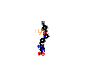 COC(=O)c1cc2c(cn1)nc(CC1CC=C(c3cccc(OCc4ccc(C#N)cc4P)n3)CC1)n2C